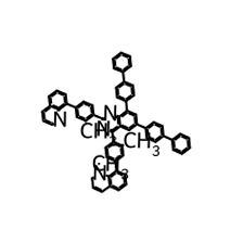 Cc1cc(-c2cccc3cccnc23)ccc1-c1nc(-c2ccc(-c3cccc4c3N(C)CC=C4)cc2C)c2cc(-c3ccc(-c4ccccc4)cc3)cc(-c3ccc(-c4ccccc4)cc3)c2n1